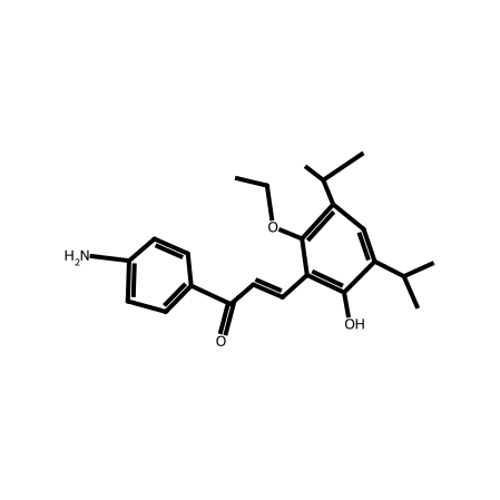 CCOc1c(C(C)C)cc(C(C)C)c(O)c1C=CC(=O)c1ccc(N)cc1